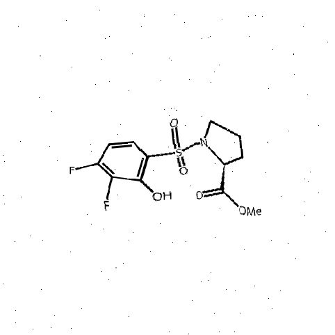 COC(=O)[C@@H]1CCCN1S(=O)(=O)c1ccc(F)c(F)c1O